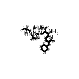 CCC(F)(F)CNC1NC(NC/C(=C(/N)c2ccc(CC3CCCCC3)c(C)n2)N(C)N)=NC=C1F